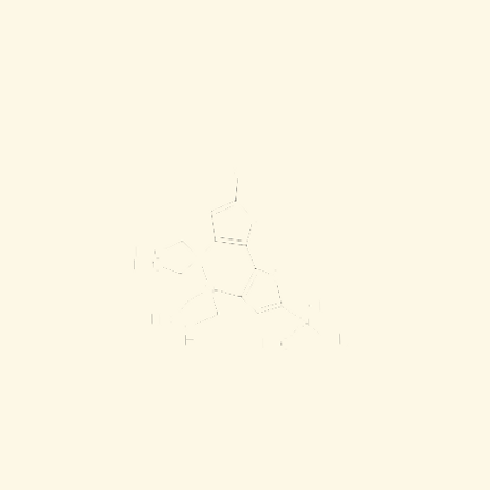 CC[Si]1(CC)c2cc(C)sc2-c2sc([Si](C)(C)C)cc2[Si]1(CC)CC